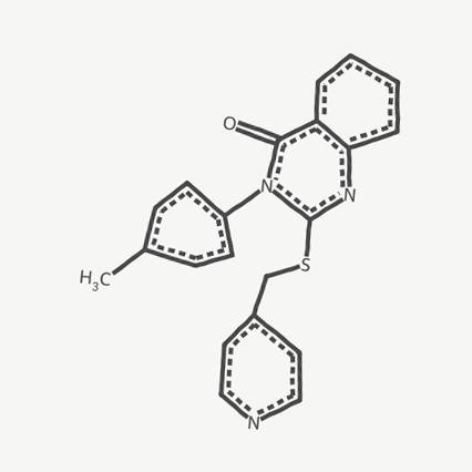 Cc1ccc(-n2c(SCc3ccncc3)nc3ccccc3c2=O)cc1